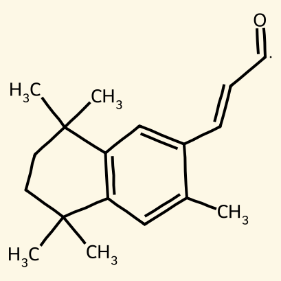 Cc1cc2c(cc1C=C[C]=O)C(C)(C)CCC2(C)C